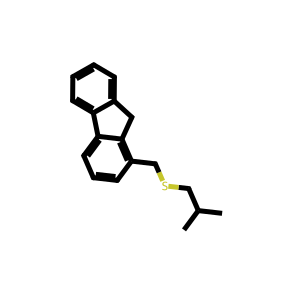 CC(C)CSCc1cccc2c1Cc1ccccc1-2